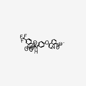 O=[N+]([O-])c1cc(C(F)(F)F)ccc1S(=O)(=O)Nc1ccc(Oc2ccnc3c([N+](=O)[O-])cccc23)cc1